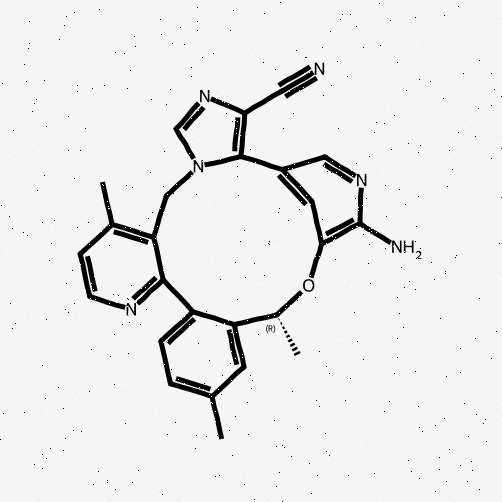 Cc1ccc2c(c1)[C@@H](C)Oc1cc(cnc1N)-c1c(C#N)ncn1Cc1c(C)ccnc1-2